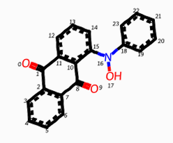 O=C1c2ccccc2C(=O)c2c1cccc2N(O)c1ccccc1